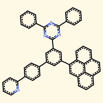 c1ccc(-c2nc(-c3ccccc3)nc(-c3cc(-c4ccc(-c5ccccn5)cc4)cc(-c4cc5cccc6ccc7cccc4c7c65)c3)n2)cc1